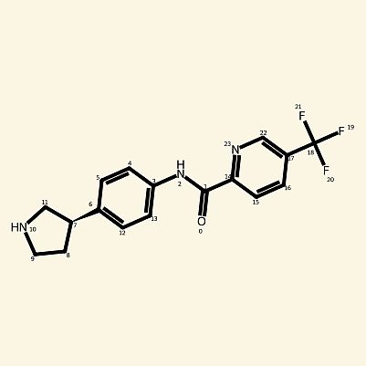 O=C(Nc1ccc([C@H]2CCNC2)cc1)c1ccc(C(F)(F)F)cn1